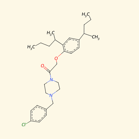 CCCC(C)c1ccc(OCC(=O)N2CCN(Cc3ccc(Cl)cc3)CC2)c(C(C)CCC)c1